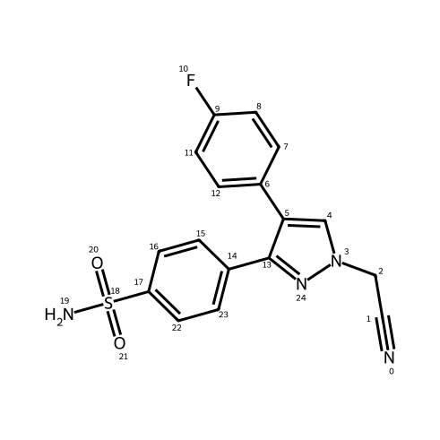 N#CCn1cc(-c2ccc(F)cc2)c(-c2ccc(S(N)(=O)=O)cc2)n1